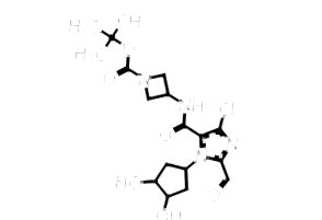 CC(C)(C)OC(=O)N1CC(NC(=O)c2c(Cl)nc(C=O)n2C2CC(O)C(O)C2)C1